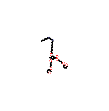 CCCCC/C=C\C/C=C\CCCCCCCCOc1cc(C(=O)OCCCCOC2CCCCO2)cc(OCCCCOC2CCCOC2)c1C